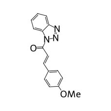 COc1ccc(C=CC(=O)n2nnc3ccccc32)cc1